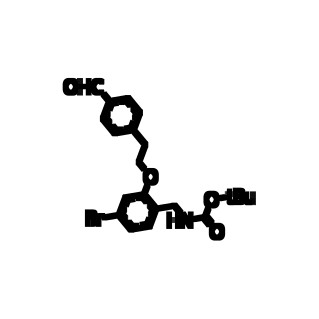 CC(C)(C)OC(=O)NCc1ccc(Br)cc1OCCc1ccc(C=O)cc1